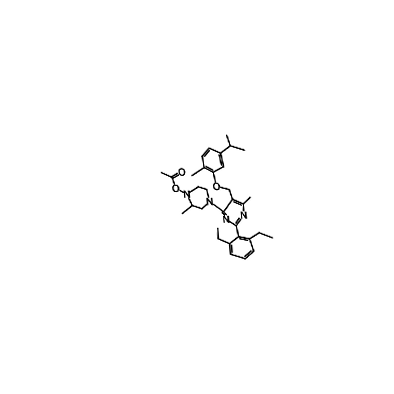 CCc1cccc(CC)c1-c1nc(C)c(COc2cc(C(C)C)ccc2C)c(N2CCN(OC(C)=O)C(C)C2)n1